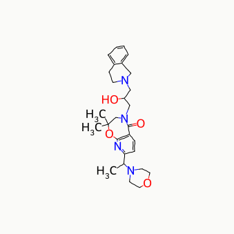 CC(c1ccc2c(n1)OC(C)(C)CN(CC(O)CN1CCc3ccccc3C1)C2=O)N1CCOCC1